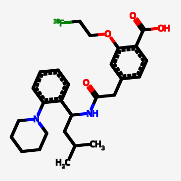 CC(C)CC(NC(=O)Cc1ccc(C(=O)O)c(OCC[18F])c1)c1ccccc1N1CCCCC1